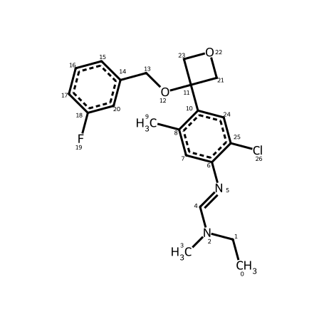 CCN(C)C=Nc1cc(C)c(C2(OCc3cccc(F)c3)COC2)cc1Cl